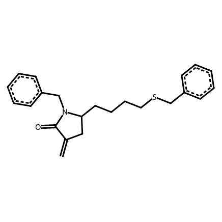 C=C1CC(CCCCSCc2ccccc2)N(Cc2ccccc2)C1=O